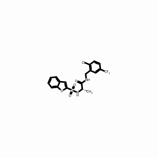 C[C@H](NS(=O)(=O)c1cc2ccccc2o1)C(=O)NCc1cc(C(F)(F)F)ccc1Cl